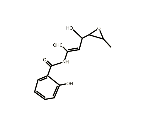 CC1OC1C(O)/C=C(\C=O)NC(=O)c1ccccc1O